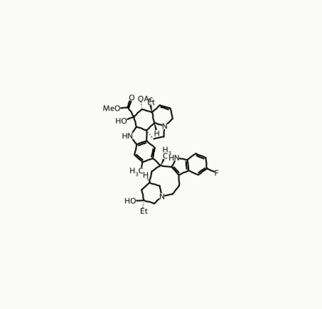 CC[C@]1(O)C[C@@H]2CN(CCc3c([nH]c4ccc(F)cc34)[C@@](C)(c3cc4c(cc3C)NC3C(O)(C(=O)OC)[C@H](OC(C)=O)[C@]5(CC)C=CCN6CC[C@]43[C@@H]65)C2)C1